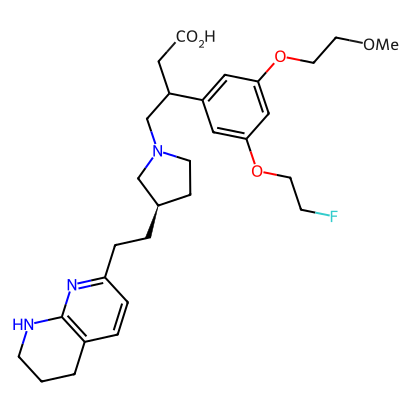 COCCOc1cc(OCCF)cc(C(CC(=O)O)CN2CC[C@@H](CCc3ccc4c(n3)NCCC4)C2)c1